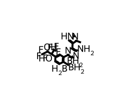 BC(B)(B)c1ccc(C(O)(C(O)C(F)(F)F)C(F)(F)F)cc1-c1cnc(N)c(-c2c[nH]nc2C)n1